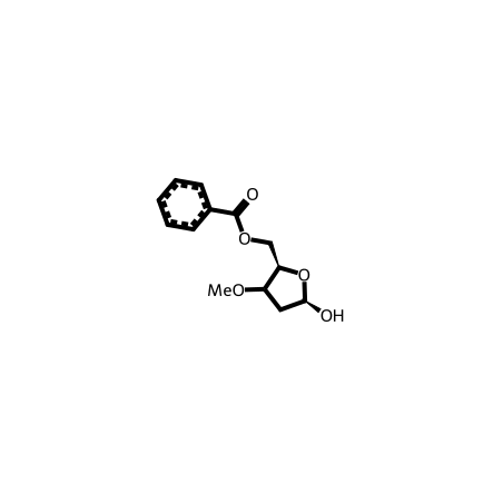 COC1C[C@H](O)O[C@@H]1COC(=O)c1ccccc1